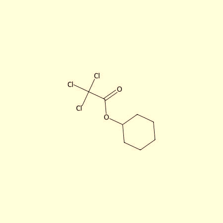 O=C(OC1CCCCC1)C(Cl)(Cl)Cl